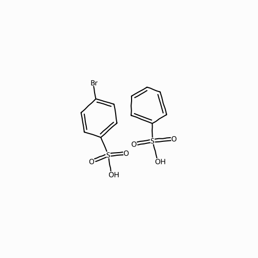 O=S(=O)(O)c1ccc(Br)cc1.O=S(=O)(O)c1ccccc1